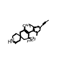 CC#Cc1cc(C)c(C2=C(O)CC3(C=CNCC3)CC2=O)c(C)c1.Cl